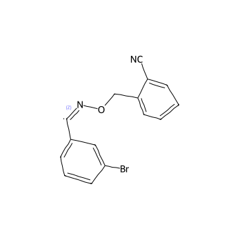 N#Cc1ccccc1CO/N=[C]\c1cccc(Br)c1